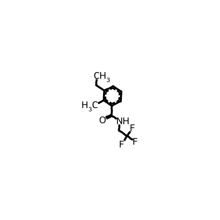 CCc1cccc(C(=O)NCC(F)(F)F)c1C